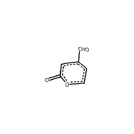 O=Cc1ccoc(=O)c1